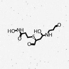 O=CCCNC(O)CC(C=O)SCCC(=O)NO